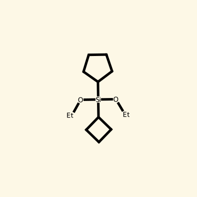 CCO[Si](OCC)(C1CCCC1)C1CCC1